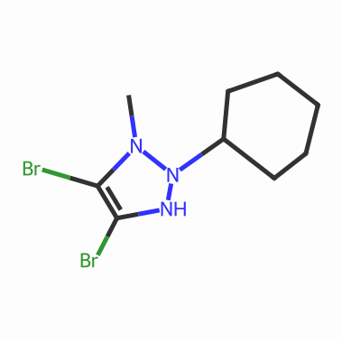 CN1C(Br)=C(Br)NN1C1CCCCC1